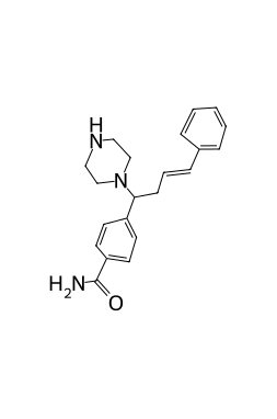 NC(=O)c1ccc(C(CC=Cc2ccccc2)N2CCNCC2)cc1